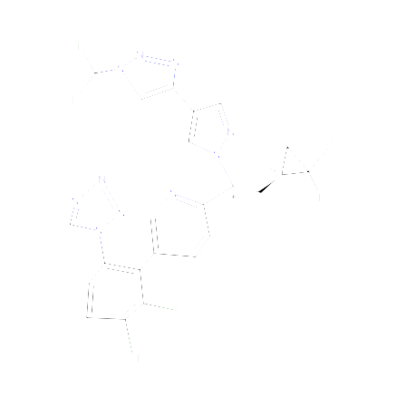 Fc1c(Cl)ccc(-n2cnnn2)c1-c1ccc([C@@H](C[C@H]2CC2(F)F)n2cc(-c3cn(C(F)F)nn3)cn2)nc1